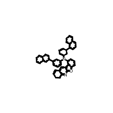 C1=CC(c2cccc3ccccc23)CC(N(c2cccc(-c3ccc4ccccc4c3)c2)c2cccc3oc4nc5c(cc4c23)C=CCC5)=C1